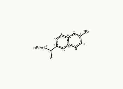 [CH2]CCCCC(C)c1ccc2cc(Br)ccc2c1